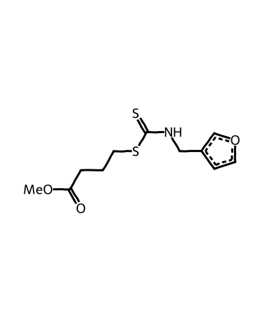 COC(=O)CCCSC(=S)NCc1ccoc1